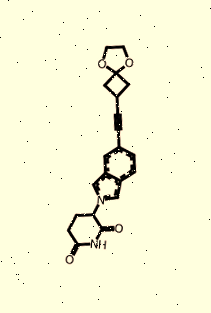 O=C1CCC(n2cc3ccc(C#CC4CC5(C4)OCCO5)cc3c2)C(=O)N1